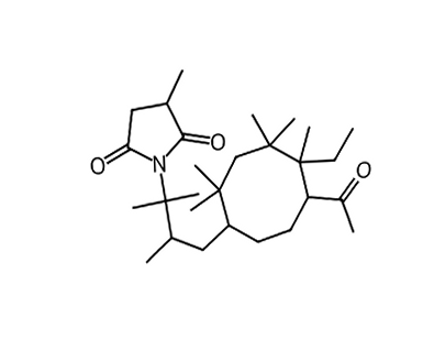 CCC1(C)C(C(C)=O)CCC(CC(C)C(C)(C)N2C(=O)CC(C)C2=O)C(C)(C)CC1(C)C